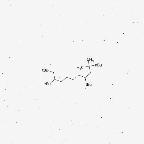 CCCCC(C)(C)CC(CCCCC(CC(C)(C)C)C(C)(C)C)C(C)(C)C